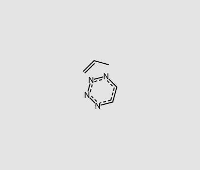 C=CC.c1cnnnn1